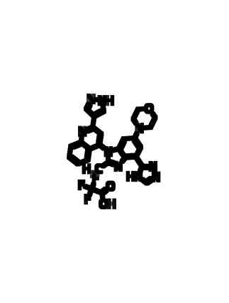 Cc1nc2c(-c3nnc[nH]3)cc(N3CCOCC3)cc2n1-c1cc(-c2cn[nH]c2)nc2ccccc12.O=C(O)C(F)(F)F